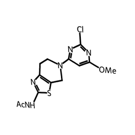 COc1cc(N2CCc3nc(NC(C)=O)sc3C2)nc(Cl)n1